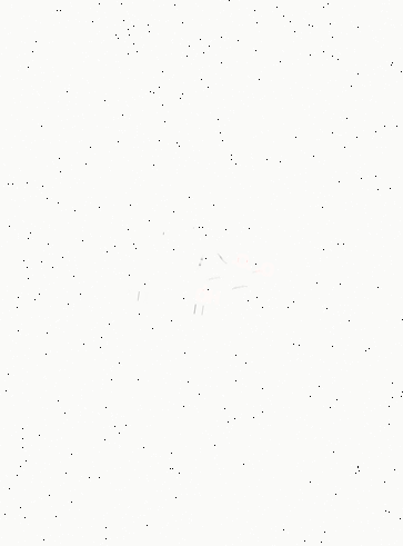 CCCCCC(C)C(C)c1cc(O)c2c3c(c(=O)oc2c1)CCC3C